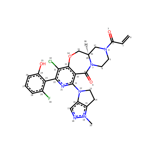 C=CC(=O)N1CCN2C(=O)c3c(N4CCc5c4cnn5C)nc(-c4c(O)cccc4F)c(Cl)c3OC[C@H]2C1